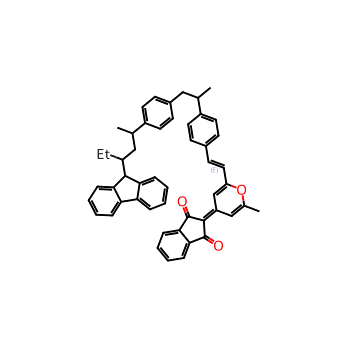 CCC(CC(C)c1ccc(CC(C)c2ccc(/C=C/C3=CC(=C4C(=O)c5ccccc5C4=O)C=C(C)O3)cc2)cc1)C1c2ccccc2-c2ccccc21